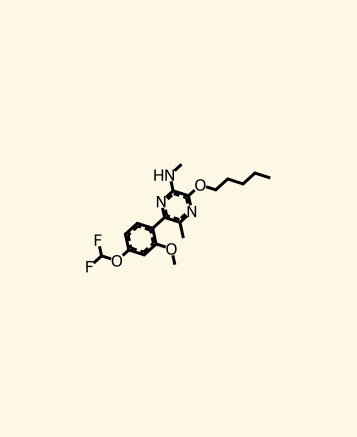 CCCCCOc1nc(C)c(-c2ccc(OC(F)F)cc2OC)nc1NC